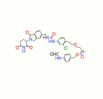 CN(CCOCCc1ccc(NC(=O)NCc2ccc3c(c2)CN(C2CCC(=O)NC2=O)C3=O)cc1Cl)C(=O)OCc1ccc(NC=O)cc1